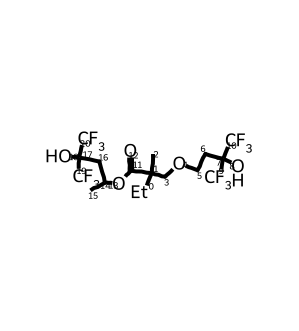 CCC(C)(COCCC(O)(C(F)(F)F)C(F)(F)F)C(=O)OC(C)CC(O)(C(F)(F)F)C(F)(F)F